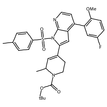 COc1ccc(F)cc1-c1ccnc2c1cc(C1=CC(C)N(C(=O)OC(C)(C)C)CC1)n2S(=O)(=O)c1ccc(C)cc1